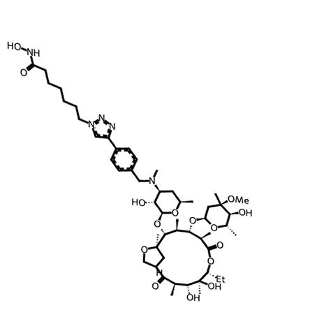 CC[C@H]1OC(=O)[C@H](C)[C@@H](O[C@H]2C[C@@](C)(OC)[C@@H](O)[C@H](C)O2)[C@H](C)[C@@H](O[C@@H]2O[C@H](C)C[C@H](N(C)Cc3ccc(-c4cn(CCCCCCC(=O)NO)nn4)cc3)[C@H]2O)[C@@]2(C)C[C@@H](CO2)C(=O)[C@H](C)[C@@H](O)[C@]1(C)O